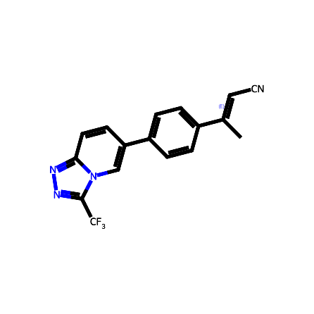 C/C(=C\C#N)c1ccc(-c2ccc3nnc(C(F)(F)F)n3c2)cc1